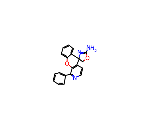 NC1=NC2(CO1)c1ccccc1Oc1c2ccnc1-c1ccccc1